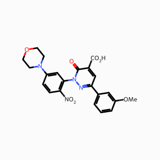 COc1cccc(-c2cc(C(=O)O)c(=O)n(-c3cc(N4CCOCC4)ccc3[N+](=O)[O-])n2)c1